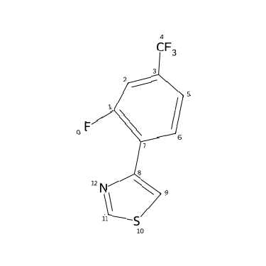 Fc1cc(C(F)(F)F)ccc1-c1cs[c]n1